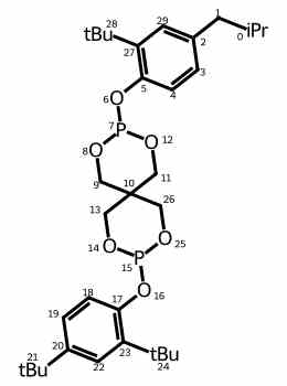 CC(C)Cc1ccc(OP2OCC3(CO2)COP(Oc2ccc(C(C)(C)C)cc2C(C)(C)C)OC3)c(C(C)(C)C)c1